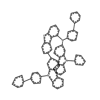 c1ccc(-c2ccc(-n3c4ccccc4c4ccc(-c5ccc6sc7cccc(N(c8cccc(-c9ccccc9)c8)c8ccc9c%10ccccc%10n(-c%10ccccc%10)c9c8)c7c6c5)cc43)cc2)cc1